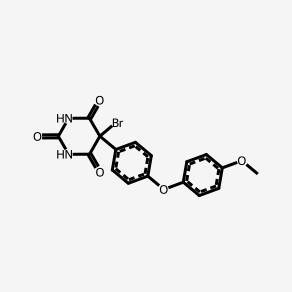 COc1ccc(Oc2ccc(C3(Br)C(=O)NC(=O)NC3=O)cc2)cc1